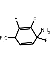 NC1(F)C=CC(C(F)(F)F)C(F)=C1F